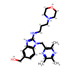 Cc1nc(C)c(Cn2c(NCCCN3CCOCC3)nc3cc(CO)ccc32)nc1C